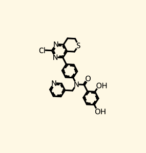 O=C(c1ccc(O)cc1O)N(Cc1cccnc1)c1ccc(-c2nc(Cl)nc3c2CSCC3)cc1